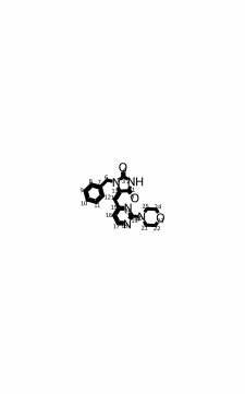 O=C1NC(=O)N(Cc2ccccc2)/C1=C/c1ccnc(N2CCOCC2)n1